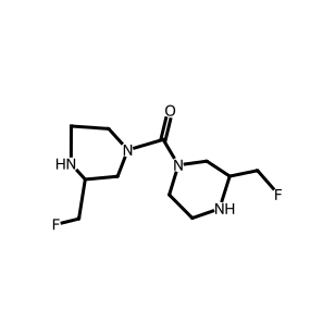 O=C(N1CCNC(CF)C1)N1CCNC(CF)C1